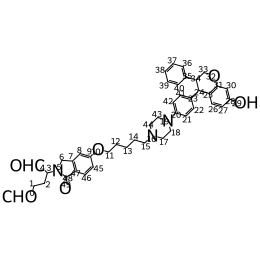 O=CCCC(C=O)N1Cc2cc(OCCCCCN3CCN(c4ccc([C@@H]5c6ccc(O)cc6OC[C@@H]5c5ccccc5)cc4)CC3)ccc2C1=O